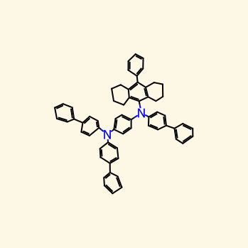 c1ccc(-c2ccc(N(c3ccc(-c4ccccc4)cc3)c3ccc(N(c4ccc(-c5ccccc5)cc4)c4c5c(c(-c6ccccc6)c6c4CCCC6)CCCC5)cc3)cc2)cc1